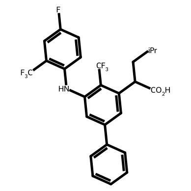 CC(C)CC(C(=O)O)c1cc(-c2ccccc2)cc(Nc2ccc(F)cc2C(F)(F)F)c1C(F)(F)F